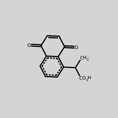 [CH2]C(C(=O)O)c1cccc2c1C(=O)C=CC2=O